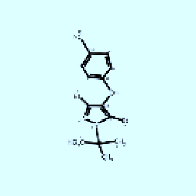 CCc1nn(C(C)(C)C(=O)O)c(CC)c1Oc1ccc(C#N)cc1